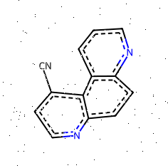 N#Cc1ccnc2ccc3ncccc3c12